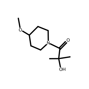 COC1CCN(C(=O)C(C)(C)O)CC1